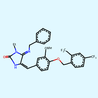 CCN1C(=O)NC(=Cc2ccc(OCc3ccc(C(F)(F)F)cc3C(F)(F)F)c(OC)c2)C1=NCc1ccccc1